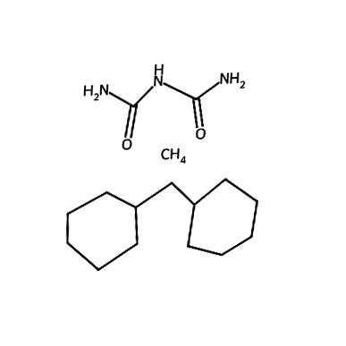 C.C1CCC(CC2CCCCC2)CC1.NC(=O)NC(N)=O